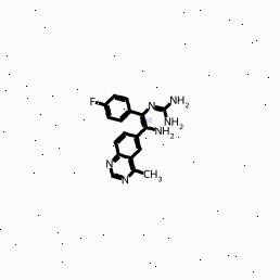 Cc1ncnc2ccc(/C(N)=C(/N=C(N)N)c3ccc(F)cc3)cc12